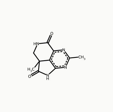 Cc1nc2c3c(n1)C(=O)NCC3(C)C(=O)N2